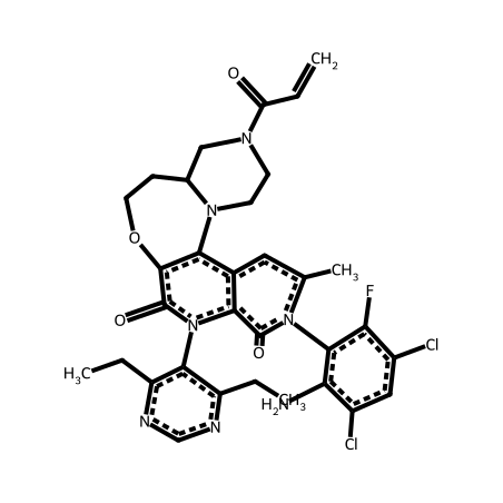 C=CC(=O)N1CCN2c3c(c(=O)n(-c4c(CC)ncnc4CC)c4c(=O)n(-c5c(N)c(Cl)cc(Cl)c5F)c(C)cc34)OCCC2C1